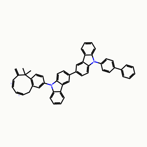 C=C1/C=C\C=C/Cc2cc(-n3c4ccccc4c4cc(-c5ccc6c(c5)c5ccccc5n6-c5ccc(-c6ccccc6)cc5)ccc43)ccc2C1(C)C